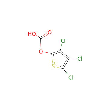 O=C(O)Oc1sc(Cl)c(Cl)c1Cl